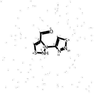 O=CC1=CSNN1c1csnn1